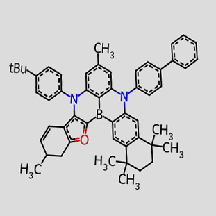 Cc1cc2c3c(c1)N(c1ccc(C(C)(C)C)cc1)c1c(oc4c1C=CC(C)C4)B3c1cc3c(cc1N2c1ccc(-c2ccccc2)cc1)C(C)(C)CCC3(C)C